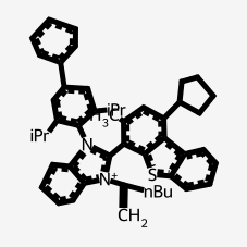 C=C(CCCC)[n+]1c(-c2c(C)cc(C3CCCC3)c3c2sc2ccccc23)n(-c2c(C(C)C)cc(-c3ccccc3)cc2C(C)C)c2ccccc21